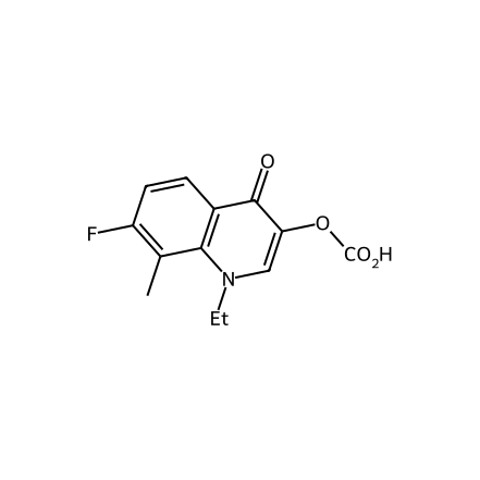 CCn1cc(OC(=O)O)c(=O)c2ccc(F)c(C)c21